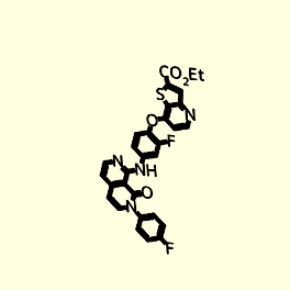 CCOC(=O)c1cc2nccc(Oc3ccc(Nc4nccc5ccn(-c6ccc(F)cc6)c(=O)c45)cc3F)c2s1